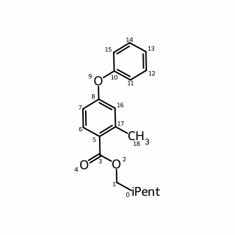 CCCC(C)COC(=O)c1ccc(Oc2ccccc2)cc1C